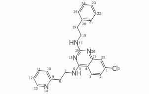 Clc1ccc2c(NCCc3ccccn3)nc(NCCc3ccccc3)nc2c1